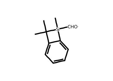 CC1(C)c2ccccc2[Si]1(C)[C]=O